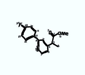 COC(=O)C(C)c1ccnc(-c2ccc(F)cc2)c1